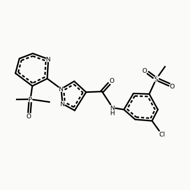 CP(C)(=O)c1cccnc1-n1cc(C(=O)Nc2cc(Cl)cc(S(C)(=O)=O)c2)cn1